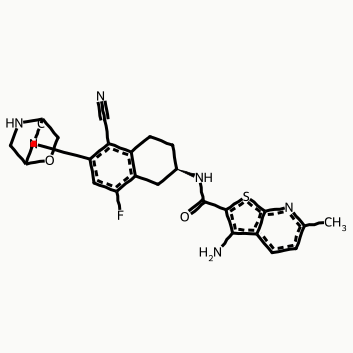 Cc1ccc2c(N)c(C(=O)N[C@@H]3CCc4c(C#N)c(N5CC6COC(CN6)C5)cc(F)c4C3)sc2n1